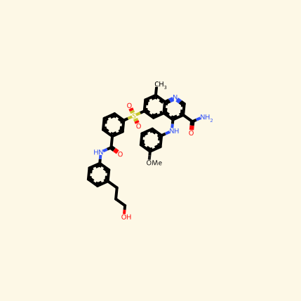 COc1cccc(Nc2c(C(N)=O)cnc3c(C)cc(S(=O)(=O)c4cccc(C(=O)Nc5cccc(CCCO)c5)c4)cc23)c1